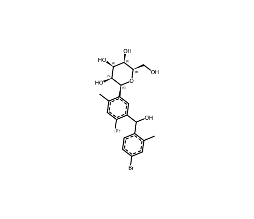 Cc1cc(Br)ccc1C(O)c1cc([C@@H]2O[C@H](CO)[C@H](O)[C@H](O)[C@@H]2O)c(C)cc1C(C)C